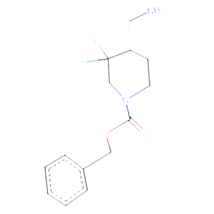 NC[C@@H]1CCN(C(=O)OCc2ccccc2)CC1(F)F